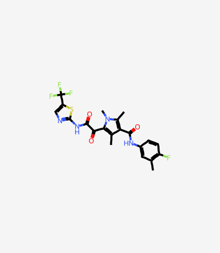 Cc1cc(NC(=O)c2c(C)c(C(=O)C(=O)Nc3ncc(C(F)(F)F)s3)n(C)c2C)ccc1F